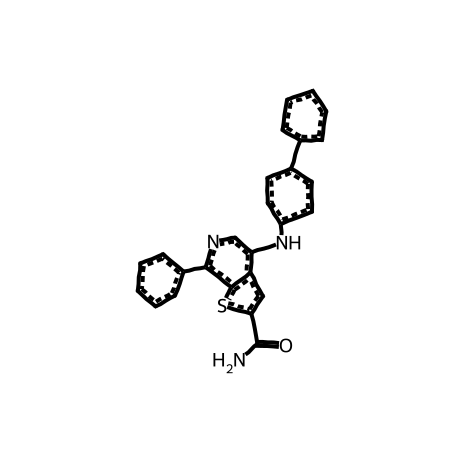 NC(=O)c1cc2c(Nc3ccc(-c4ccccc4)cc3)cnc(-c3ccccc3)c2s1